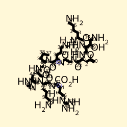 C=CC[C@H](NC(=O)[C@@H](NC(=O)[C@@H](N)CCCCN)[C@@H](O)CN)C(=O)NCC(=O)/N=C(\CCCN)C(=O)N1CCC[C@H]1C(=O)N[C@@H](Cc1cnc[nH]1)C(=O)N[C@@H](CCCCN)C(=O)N/C(=C\CCNC(=N)N)C(=O)O